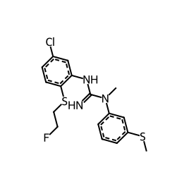 CSc1cccc(N(C)C(=N)Nc2cc(Cl)ccc2SCCF)c1